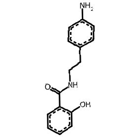 Nc1ccc(CCNC(=O)c2ccccc2O)cc1